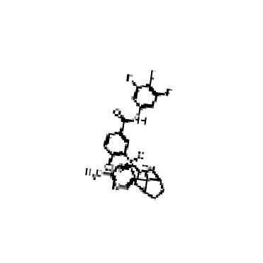 Cc1ccc(C2(O)C3CCC2CC(S(=O)(=O)c2cc(C(=O)Nc4cc(F)c(F)c(F)c4)ccc2Cl)C3)cn1